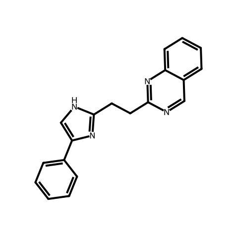 c1ccc(-c2c[nH]c(CCc3ncc4ccccc4n3)n2)cc1